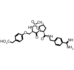 CS(=O)(=O)N[C@H](COc1ccc(CC(=O)O)cc1)C(=O)N1CCC[C@H]1C(=O)NCc1ccc(C(=N)N)cc1